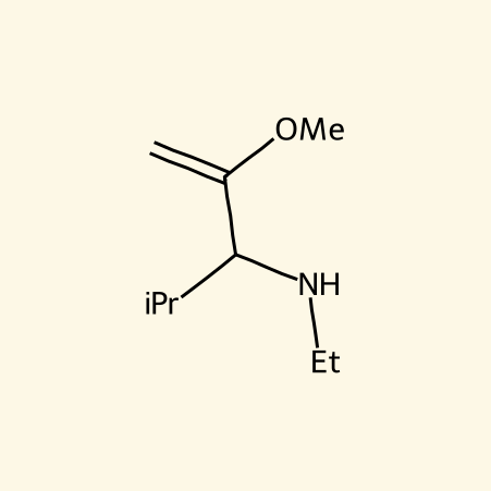 C=C(OC)C(NCC)C(C)C